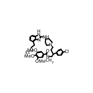 CCOCCc1cccc2[nH]c(NC3CCN(CCC(CN(C)C(=O)c4cc(OC)c(OC)c(OC)c4)c4ccc(Cl)cc4)CC3)nc12